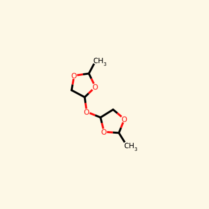 CC1OCC(OC2COC(C)O2)O1